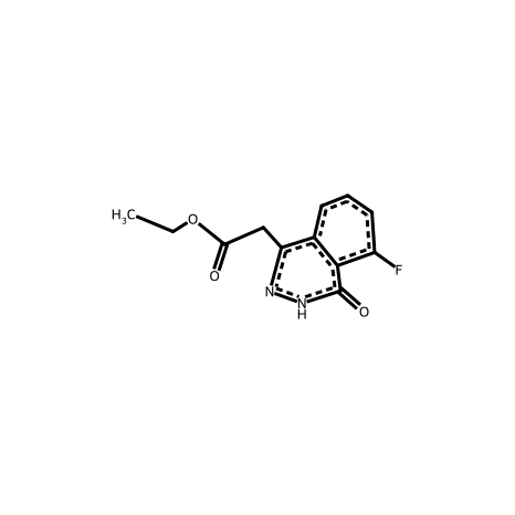 CCOC(=O)Cc1n[nH]c(=O)c2c(F)cccc12